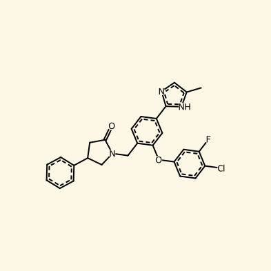 Cc1cnc(-c2ccc(CN3CC(c4ccccc4)CC3=O)c(Oc3ccc(Cl)c(F)c3)c2)[nH]1